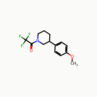 COc1ccc(C2CCCN(C(=O)C(F)(F)F)C2)cc1